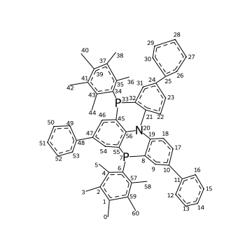 Cc1c(C)c(C)c(P2c3cc(-c4ccccc4)ccc3N3c4ccc(-c5ccccc5)cc4P(c4c(C)c(C)c(C)c(C)c4C)c4cc(-c5ccccc5)cc2c43)c(C)c1C